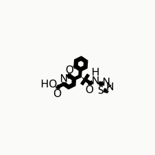 CC(C)(C(=O)Nc1nncs1)[C@H]1c2ccccc2Oc2nc(C(=O)O)ccc21